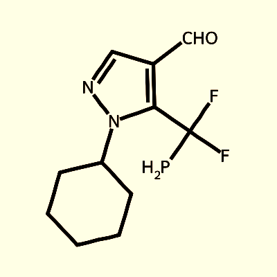 O=Cc1cnn(C2CCCCC2)c1C(F)(F)P